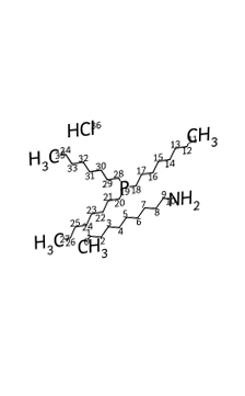 CCCCCCCCCCN.CCCCCCCCP(CCCCCCCC)CCCCCCCC.Cl